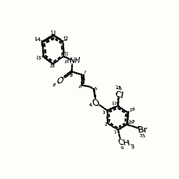 Cc1cc(OCC=CC(=O)Nc2ccccc2)c(Cl)cc1Br